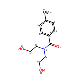 COc1ccc(C(=O)N(CCO)CCO)cc1